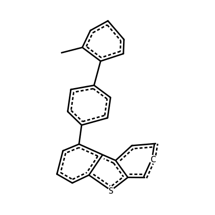 Cc1ccccc1-c1ccc(-c2cccc3sc4ccccc4c23)cc1